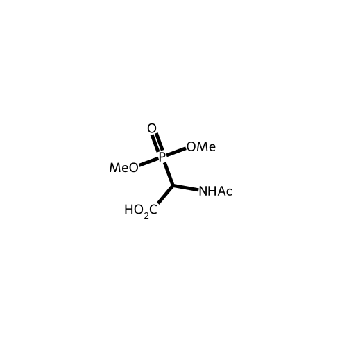 COP(=O)(OC)C(NC(C)=O)C(=O)O